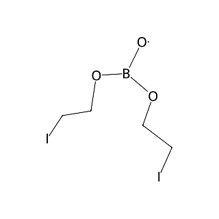 [O]B(OCCI)OCCI